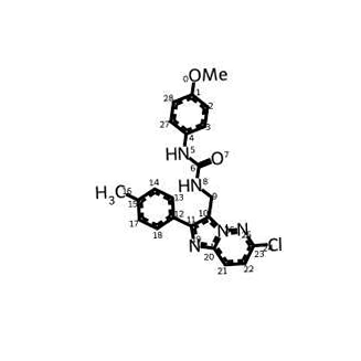 COc1ccc(NC(=O)NCc2c(-c3ccc(C)cc3)nc3ccc(Cl)nn23)cc1